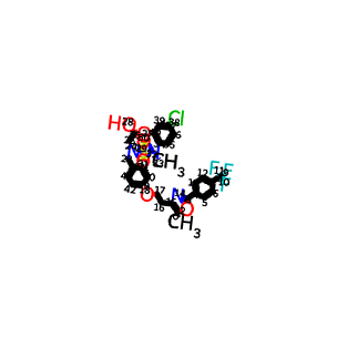 Cc1oc(-c2ccc(C(F)(F)F)cc2)nc1CCOc1ccc(CN(CC(=O)O)S(=O)(=O)N(C)c2ccc(Cl)cc2)cc1